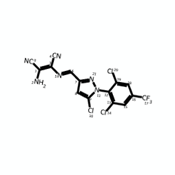 N#C/C(N)=C(C#N)/N=C/c1cc(Cl)n(-c2c(Cl)cc(C(F)(F)F)cc2Cl)n1